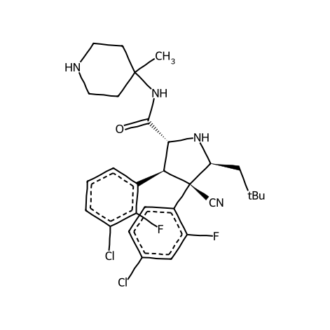 CC(C)(C)C[C@@H]1N[C@@H](C(=O)NC2(C)CCNCC2)[C@H](c2cccc(Cl)c2F)[C@@]1(C#N)c1ccc(Cl)cc1F